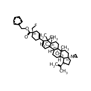 C=C(C)[C@@H]1CC[C@]2(N3CC3)CC[C@]3(C)[C@H](CC[C@@H]4[C@@]5(C)CC=C(C6=CC[C@@](CF)(C(=O)OCc7ccccc7)CC6)C(C)(C)[C@@H]5CC[C@]43C)C12